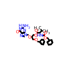 CC(C)[C@H](NC(=O)OCc1ccccc1)C(=O)OCC(COCc1ccccc1)OCn1cnc2c(=O)[nH]c(N)nc21